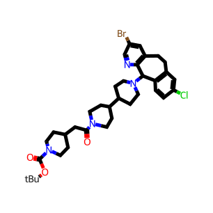 CC(C)(C)OC(=O)N1CCC(CC(=O)N2CCC(C3CCN(C4c5ccc(Cl)cc5CCc5cc(Br)cnc54)CC3)CC2)CC1